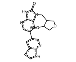 COC1COCC1Cn1c(=O)[nH]c2ncc(-c3cnc4[nH]ccc4c3)cc21